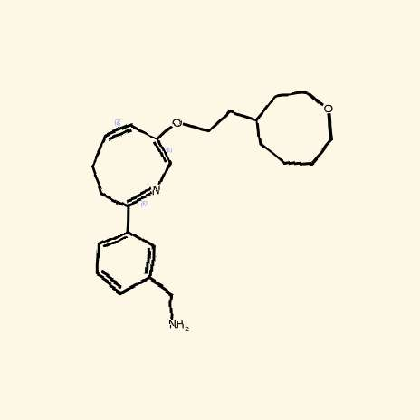 NCc1cccc(/C2=N/C=C(OCCC3CCCCOCC3)\C=C/CC2)c1